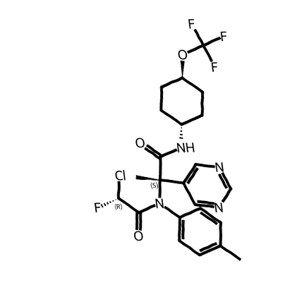 Cc1ccc(N(C(=O)[C@H](F)Cl)[C@](C)(C(=O)N[C@H]2CC[C@H](OC(F)(F)F)CC2)c2cncnc2)cc1